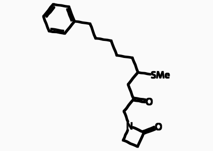 CSC(CCCCCc1ccccc1)CC(=O)CN1CCC1=O